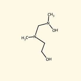 CN(O)CN(C)CCO